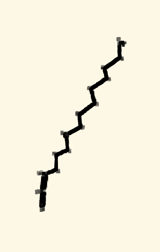 CC(C)CCCCCCCOCCCN=C=O